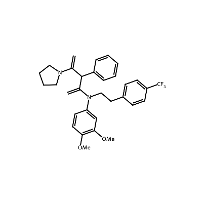 C=C(C(C(=C)N(CCc1ccc(C(F)(F)F)cc1)c1ccc(OC)c(OC)c1)c1ccccc1)N1CCCC1